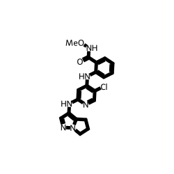 CONC(=O)c1ccccc1Nc1cc(Nc2cnn3c2CCC3)ncc1Cl